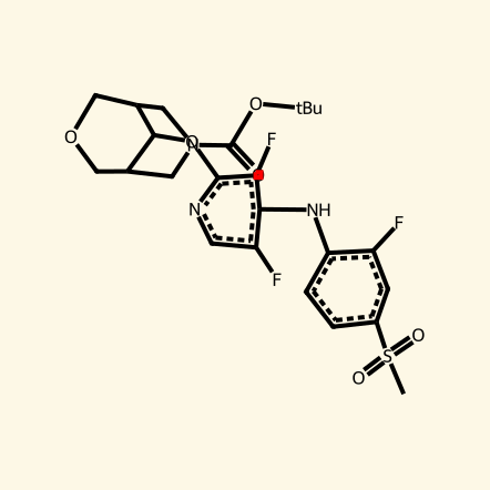 CC(C)(C)OC(=O)N1CC2COCC(C1)C2Oc1ncc(F)c(Nc2ccc(S(C)(=O)=O)cc2F)c1F